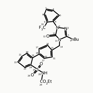 CCCCc1nn(-c2ccccc2C(F)(F)F)c(=O)n1Cc1ccc(-c2ccccc2S(=O)(=O)NC(=O)OCC)cc1